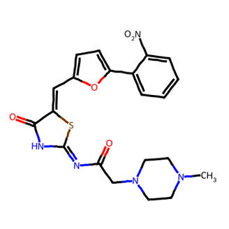 CN1CCN(CC(=O)N=C2NC(=O)C(=Cc3ccc(-c4ccccc4[N+](=O)[O-])o3)S2)CC1